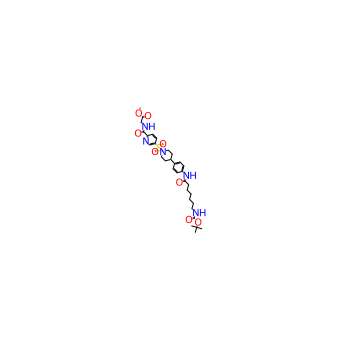 COC(=O)CNC(=O)c1ccc(S(=O)(=O)N2CCC(c3ccc(NC(=O)CCCCCCNC(=O)OC(C)(C)C)cc3)CC2)cn1